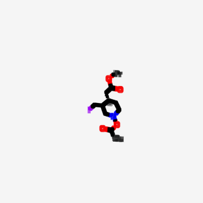 CC(C)OC(=O)C[C@@H]1CCN(OC(=O)C(C)(C)C)CC1CI